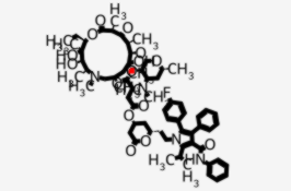 CC[C@H]1OC(=O)[C@H](C)C(=O)[C@H](C)[C@@H](O[C@@H]2O[C@H](C)CC(N(C)C)[C@H]2OC(=O)CCC(=O)O[C@@H]2CC(=O)O[C@@H](CCn3c(-c4ccc(F)cc4)c(-c4ccccc4)c(C(=O)Nc4ccccc4)c3C(C)C)C2)[C@](C)(O)C[C@@H](C)CN(C)[C@H](C)[C@@H](O)[C@]1(C)O